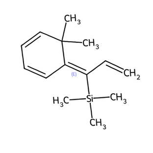 C=C/C(=C1/C=CC=CC1(C)C)[Si](C)(C)C